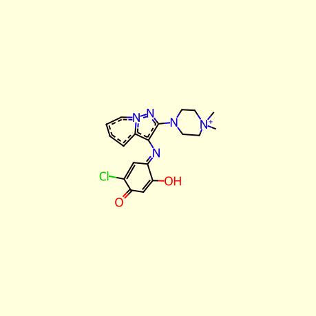 C[N+]1(C)CCN(c2nn3ccccc3c2/N=C2\C=C(Cl)C(=O)C=C2O)CC1